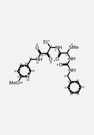 CCC(NC(=O)C(NC(=O)NCc1ccccc1)SC)C(=O)C(=O)NCc1ccc(OC)nc1